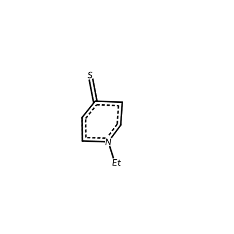 CCn1ccc(=S)cc1